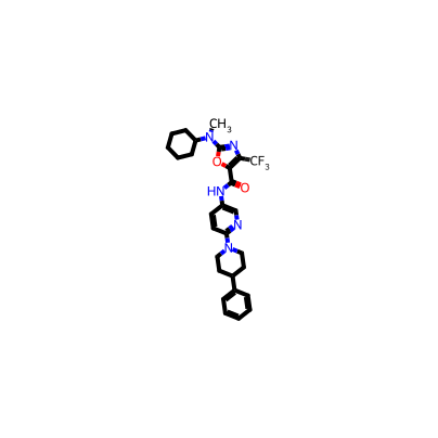 CN(c1nc(C(F)(F)F)c(C(=O)Nc2ccc(N3CCC(c4ccccc4)CC3)nc2)o1)C1CCCCC1